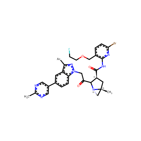 CC(=O)c1nn(CC(=O)C2[C@@H](C(=O)Nc3nc(Br)ccc3COCCF)C[C@]3(C)C[N@]23)c2ccc(-c3cnc(C)nc3)cc12